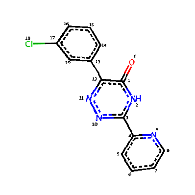 O=c1[nH]c(-c2ccccn2)nnc1-c1cccc(Cl)c1